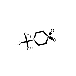 CC(C)(S)N1CCS(=O)(=O)CC1